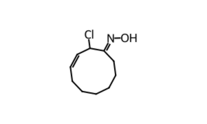 ON=C1CCCCCCC=CC1Cl